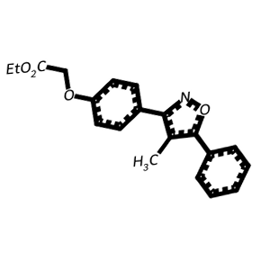 CCOC(=O)COc1ccc(-c2noc(-c3ccccc3)c2C)cc1